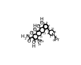 CC(C)CN1CCC(c2ccc(O)c3c2CC2CC4C(C(=O)C(C(N)=O)=C(O)[C@H]4N(C)C)C(O)=C2C3=O)CC1